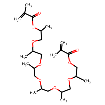 C=C(C)C(=O)OCC(C)OCC(C)OCC(C)OCC(C)OCC(C)OCC(C)OC(=O)C(=C)C